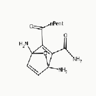 CCCCCC(=O)C1=C(C(N)=O)C2(N)C=CC1(N)O2